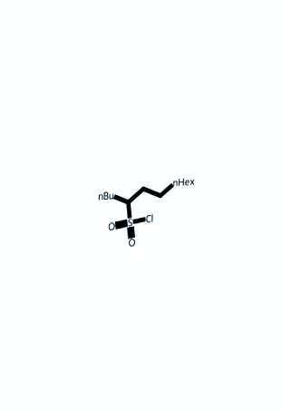 CCCCCCCCC(CCCC)S(=O)(=O)Cl